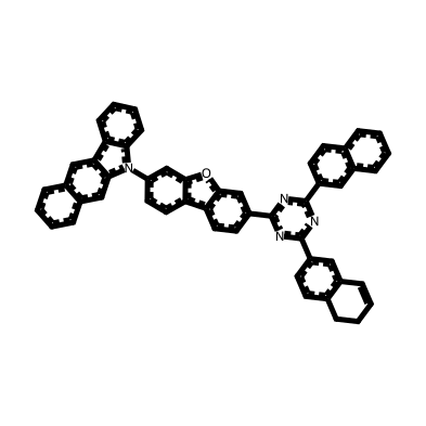 C1=Cc2cc(-c3nc(-c4ccc5ccccc5c4)nc(-c4ccc5c(c4)oc4cc(-n6c7ccccc7c7cc8ccccc8cc76)ccc45)n3)ccc2CC1